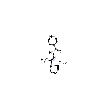 C/C(=N\NC(=O)c1ccncc1)c1ccccc1OC(C)C